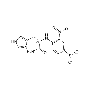 NC(=O)[C@H](Cc1c[nH]cn1)Nc1ccc([N+](=O)[O-])cc1[N+](=O)[O-]